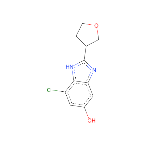 Oc1cc(Cl)c2[nH]c(C3CCOC3)nc2c1